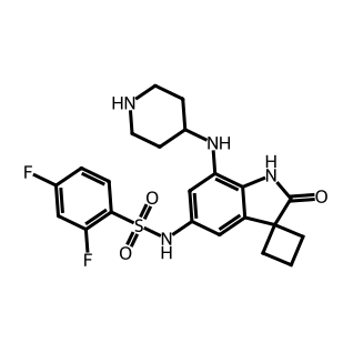 O=C1Nc2c(NC3CCNCC3)cc(NS(=O)(=O)c3ccc(F)cc3F)cc2C12CCC2